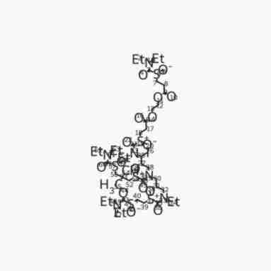 CCN(CC)C(=O)[S+]([O-])CCC(=O)OCCOC(=O)CC[S+]([O-])C(=O)N(CC)C(I)CCN(CCCN(CC)C(=O)[S+]([O-])CC[S+]([O-])C(=O)N(CC)CC)C(=O)[S+]([O-])CC(C)(C)C[S+]([O-])C(=O)N(CC)CC